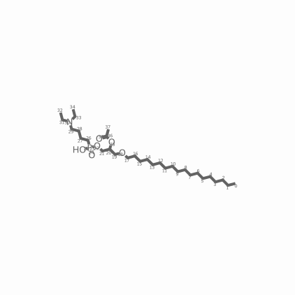 CCCCCCCCCCCCCCCCCCOCC(COP(=O)(O)CCCCN(CC)CC)OC(C)=O